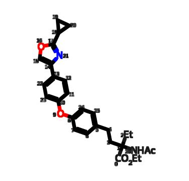 CCOC(=O)C(CC)(CCc1ccc(Oc2ccc(-c3coc(C4CC4)n3)cc2)cc1)NC(C)=O